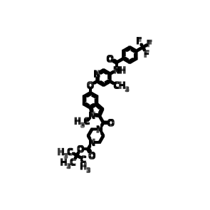 Cc1cc(Oc2ccc3c(c2)cc(C(=O)N2CCN(C(=O)OC(C)(C)C)CC2)n3C)ncc1NC(=O)c1ccc(C(F)(F)F)cc1